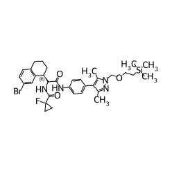 Cc1nn(COCC[Si](C)(C)C)c(C)c1-c1ccc(NC(=O)C(NC(=O)C2(F)CC2)[C@@H]2CCCc3ccc(Br)cc32)cc1